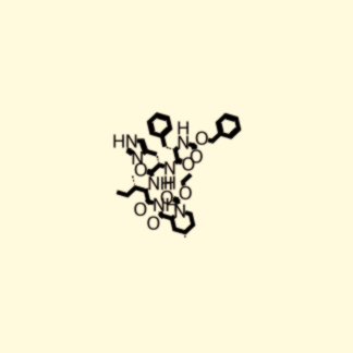 CCOC(=O)N1CC[CH]CC1C(=O)NC(=O)[C@@H](NC(=O)[C@H](Cc1c[nH]cn1)NC(=O)[C@H](Cc1ccccc1)NC(=O)OCc1ccccc1)[C@@H](C)CC